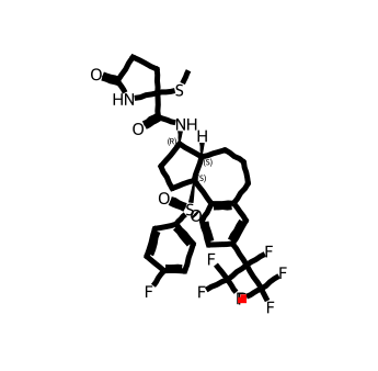 CSC1(C(=O)N[C@@H]2CC[C@@]3(S(=O)(=O)c4ccc(F)cc4)c4ccc(C(F)(C(F)(F)F)C(F)(F)F)cc4CCC[C@@H]23)CCC(=O)N1